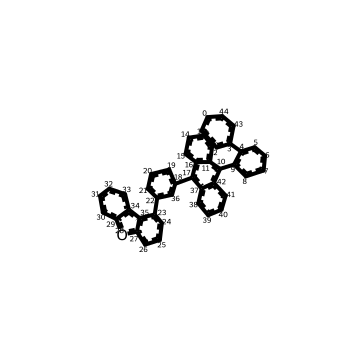 c1ccc(-c2ccccc2-c2c3ccccc3c(-c3cccc(-c4cccc5oc6ccccc6c45)c3)c3ccccc23)cc1